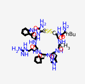 CCCC[C@H](N)C(=O)N[C@H]1CSSC[C@@H](C(N)=O)NC(=O)[C@H](Cc2c[nH]c3ccccc23)NC(=O)[C@H](CCCNC(=N)N)NC(=O)[C@@H](Cc2ccccc2)NC(=O)[C@H](Cc2c[nH]cn2)NC(=O)[C@@H](C)NC1=O